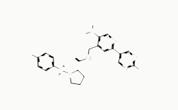 C[C@H]1CC[C@@H](C(=O)NCc2cc(-c3cnc(C(F)(F)F)nc3)ncc2B(O)O)N1S(=O)(=O)c1ccc(F)cc1